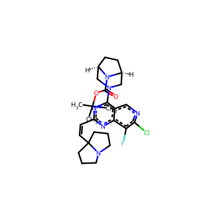 CC(C)(C)OC(=O)N1[C@@H]2CC[C@H]1CN(c1nc(/C=C\C34CCCN3CCC4)nc3c(F)c(Cl)ncc13)C2